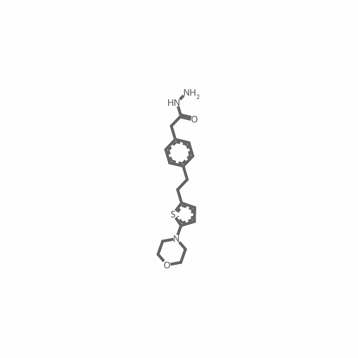 NNC(=O)Cc1ccc(CCc2ccc(N3CCOCC3)s2)cc1